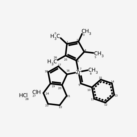 CC1=C(C)C(C)[C]([Zr]([CH3])(=[CH]c2ccccc2)[CH]2C=CC3=C2CCCC3)=C1C.Cl.Cl